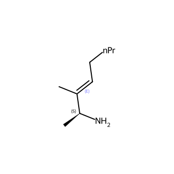 CCCC/C=C(\C)[C@H](C)N